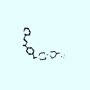 CS(=O)(=O)NC1CCN(N2CCN(C(=O)c3ccc(C(=O)/C=C/c4ccccn4)cc3)CC2)CC1